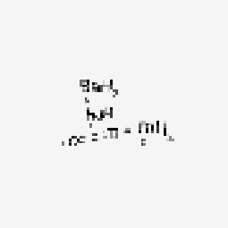 [BaH2].[BiH3].[NaH].[O]=[Ti]